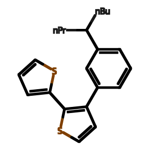 CCCCC(CCC)c1cccc(-c2ccsc2-c2cccs2)c1